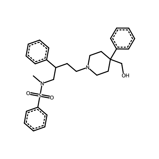 CN(CC(CCN1CCC(CO)(c2ccccc2)CC1)c1ccccc1)S(=O)(=O)c1ccccc1